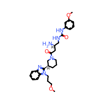 COCCCn1c([C@@H]2CCCN(C(=O)C[C@@H](N)CNC(=O)Nc3cccc(OC)c3)C2)nc2ccccc21